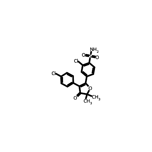 CC1(C)OC(c2ccc(S(N)(=O)=O)c(Cl)c2)=C(c2ccc(Cl)cc2)C1=O